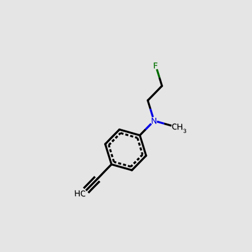 C#Cc1ccc(N(C)CCF)cc1